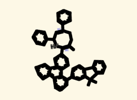 C/C1=C(\c2ccc3c(c2)c2ccccc2c2c#ccc(-c4ccc5c(c4)C(C)(C)c4ccccc4-5)c23)NC(c2ccccc2)/C=C(/c2ccccc2)CC1